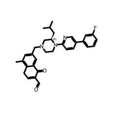 Cc1cc(CN2CCN(c3ccc(-c4cccc(F)c4)cn3)[C@H](CC(C)C)C2)cc2c1CC=C(C=O)C2=O